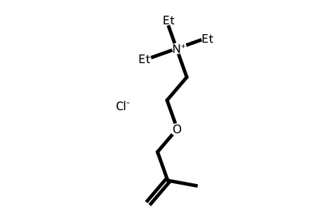 C=C(C)COCC[N+](CC)(CC)CC.[Cl-]